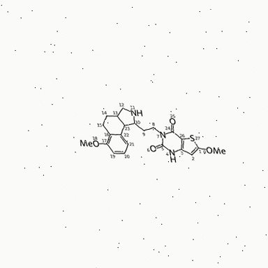 COc1cc2[nH]c(=O)n(CCC3NCC4CCc5c(OC)cccc5C43)c(=O)c2s1